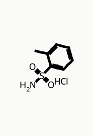 Cc1ccccc1S(N)(=O)=O.Cl